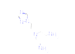 NCCN(CCN)CCn1cncn1